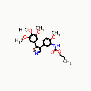 CCCOC(=O)Nc1cc(-c2cnsc2-c2cc(OC)c(OC)c(OC)c2)ccc1OC